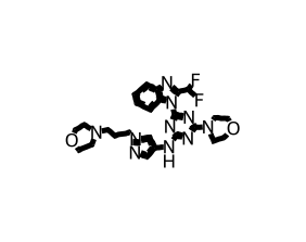 FC(F)c1nc2ccccc2n1-c1nc(Nc2cnn(CCCN3CCOCC3)c2)nc(N2CCOCC2)n1